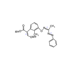 CO/C=C(/C(=O)OC)c1cccc(O/N=C(C)\N=N\c2ccccc2)c1C